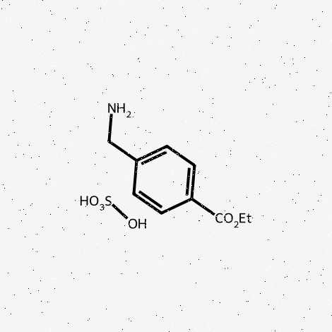 CCOC(=O)c1ccc(CN)cc1.O=S(=O)(O)O